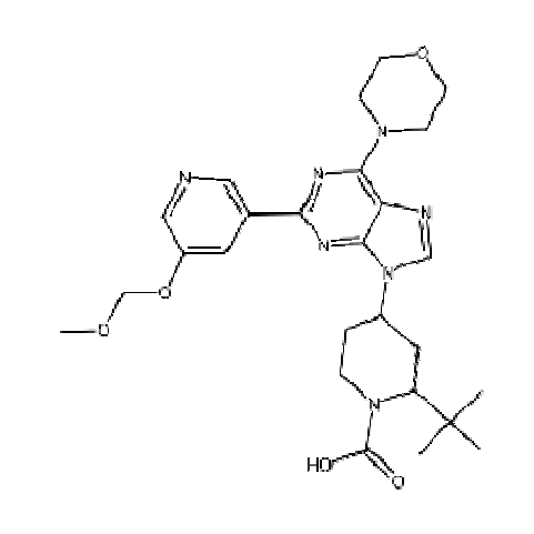 COCOc1cncc(-c2nc(N3CCOCC3)c3ncn(C4CCN(C(=O)O)C(C(C)(C)C)C4)c3n2)c1